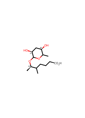 CC1OC(O[C@H](C)C(C)CCCC(=O)O)[C@@H](O)C[C@H]1O